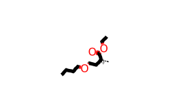 CCCCOCC[C@@H](C)C(=O)OCC